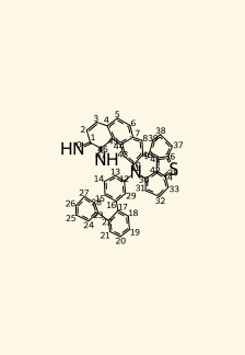 N=C1C=Cc2ccc3ccc(N(c4cccc(-c5ccccc5-c5ccccc5)c4)c4cccc5sc6ccccc6c45)cc3c2C1=N